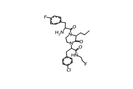 CCCC1C(=O)N(C(Cc2ccc(Cl)cc2)C(=O)NCCF)CCN1C(=O)C(N)Cc1ccc(F)cc1